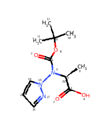 C[C@@H](C(=O)O)N(C(=O)OC(C)(C)C)n1cccn1